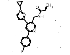 C=CC(=O)NCc1cnc(-c2ccc(F)cc2)cc1-c1ccn(C2CC2)n1